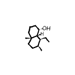 CC[C@@H]1[C@H]2[C@@H](O)CCC[C@@]2(C)CC[C@@H]1C